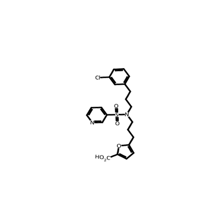 O=C(O)c1ccc(CCCN(CCCc2cccc(Cl)c2)S(=O)(=O)c2cccnc2)o1